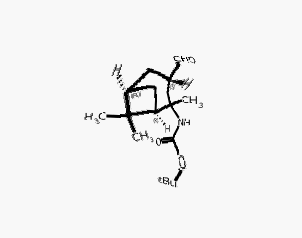 CC(C)(C)OC(=O)NC1(C)[C@@H]2C[C@H](C[C@@H]1C=O)C2(C)C